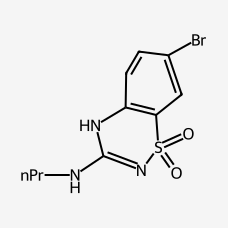 CCCNC1=NS(=O)(=O)c2cc(Br)ccc2N1